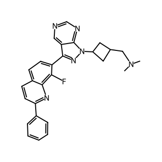 CN(C)CC1CC(n2nc(-c3ccc4ccc(-c5ccccc5)nc4c3F)c3cncnc32)C1